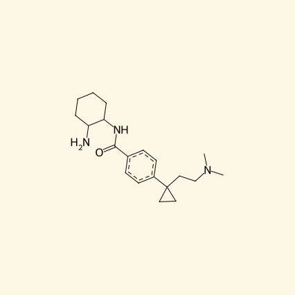 CN(C)CCC1(c2ccc(C(=O)NC3CCCCC3N)cc2)CC1